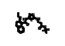 CCOc1ccc2ccccc2c1C(=O)Nc1nnc(NCCC(=O)OC(C)(C)C)s1